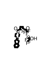 O=C(O)C(F)(F)F.O=C(c1ccc(C(=O)C(F)(F)F)s1)N1CCN(C2Cc3ccccc3C2)CC1